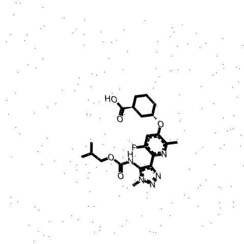 Cc1nc(-c2nnn(C)c2NC(=O)OCC(C)C)c(F)cc1O[C@H]1CCC[C@H](C(=O)O)C1